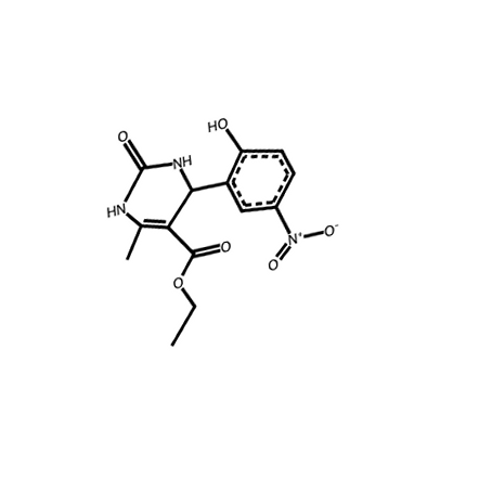 CCOC(=O)C1=C(C)NC(=O)NC1c1cc([N+](=O)[O-])ccc1O